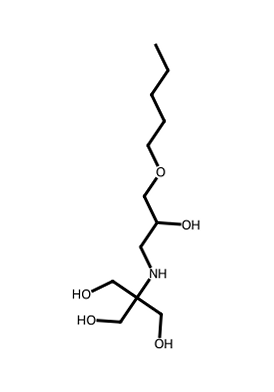 CCCCCOCC(O)CNC(CO)(CO)CO